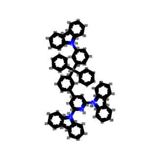 c1ccc([Si](c2ccccc2)(c2cccc(-c3cc(-n4c5ccccc5c5ccccc54)nc(-n4c5ccccc5c5ccccc54)c3)c2)c2cccc(-n3c4ccccc4c4ccccc43)c2)cc1